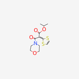 CC(C)OC(=O)C(C(=O)N1CCOCC1)=C1SC=CS1